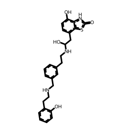 O=c1[nH]c2c(O)ccc(CC(O)NCCc3cccc(CNCCc4ccccc4O)c3)c2s1